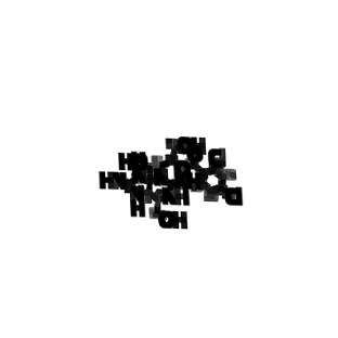 N=C1NC2[C@H](CO)NC(=N)N(C[C@@H](CO)OC(=O)c3ccc(Cl)cc3Cl)C2(CO)N1